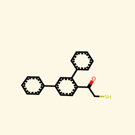 O=C(CS)c1ccc(-c2ccccc2)cc1-c1ccccc1